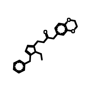 CCC1C(CCC(=O)Cc2ccc3c(c2)OCCO3)=CC=C1Cc1ccccc1